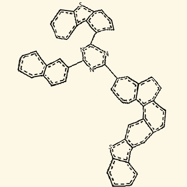 c1ccc2cc(-c3nc(-c4ccc5c(ccc6ccc7cc8c(cc7c65)sc5ccccc58)c4)nc(-c4cccc5sc6ccccc6c45)n3)ccc2c1